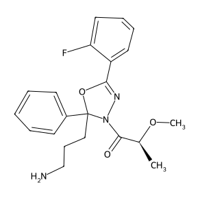 CO[C@@H](C)C(=O)N1N=C(c2ccccc2F)OC1(CCCN)c1ccccc1